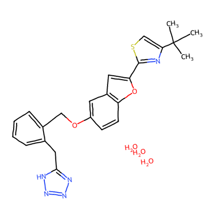 CC(C)(C)c1csc(-c2cc3cc(OCc4ccccc4Cc4nnn[nH]4)ccc3o2)n1.O.O.O